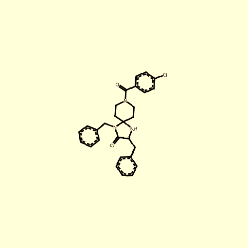 O=C(c1ccc(Cl)cc1)N1CCC2(CC1)NC(Cc1ccccc1)C(=O)N2Cc1ccccc1